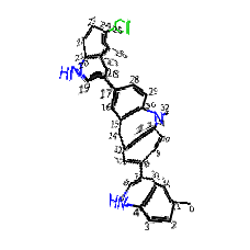 Cc1ccc2[nH]cc(-c3ccc4c(c3)Cc3cc(-c5c[nH]c6ccc(Cl)cc56)ccc3N4C)c2c1